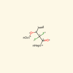 C=CC(OCCCCCCCC)C(F)(F)C(=O)CCCCCCC